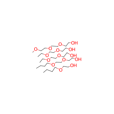 CCCCOCCO.CCCCOCCOCCO.CCOCCOCCO.CCOCCOCCO.COCCOCCOCCO